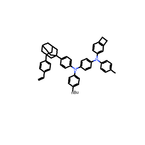 C=Cc1ccc(C23CC4CC(C2)CC(c2ccc(N(c5ccc(CCCC)cc5)c5ccc(N(c6ccc(C)cc6)c6ccc7c(c6)CC7)cc5)cc2)(C4)C3)cc1